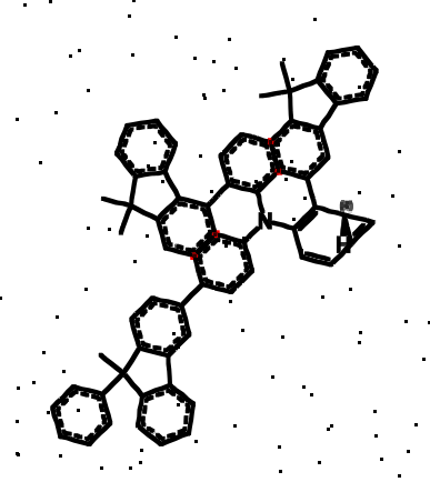 CC1(C)c2ccccc2-c2cc(C3=C(N(c4ccc(-c5ccc6c(c5)-c5ccccc5C6(C)c5ccccc5)cc4)c4ccccc4-c4cccc5c4-c4ccccc4C5(C)C)C=CC4=C[C@H]43)ccc21